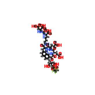 O=C(O)CCC(NC(=O)COCC(CO)(CO)COS(=O)(=O)C(F)(F)F)C(=O)NC(CCC(=O)O)C(=O)NC(Cc1ccc2ccccc2c1)C(=O)NCCCCC(NC(=O)NC(CC(=O)O)C(=O)O)C(=O)O